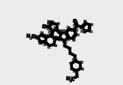 CCN1CCN(CCCCn2c3ccc(C(=O)c4cccs4)cc3c3c4c(c5c(c32)CCc2nn(C)cc2-5)C(=O)NC4)CC1